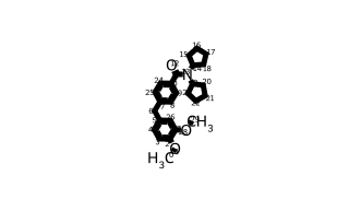 COc1ccc(Cc2ccc(C(=O)N(C3CCCC3)C3CCCC3)cc2)cc1OC